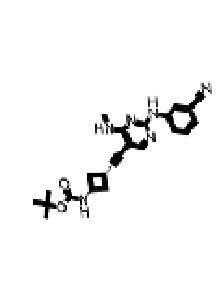 CNc1nc(Nc2cccc(C#N)c2)ncc1C#C[C@H]1C[C@@H](NC(=O)OC(C)(C)C)C1